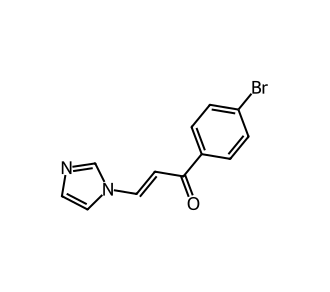 O=C(C=Cn1ccnc1)c1ccc(Br)cc1